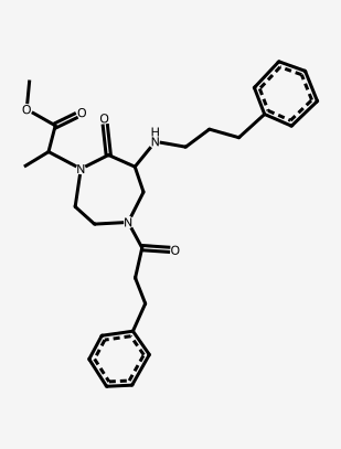 COC(=O)C(C)N1CCN(C(=O)CCc2ccccc2)CC(NCCCc2ccccc2)C1=O